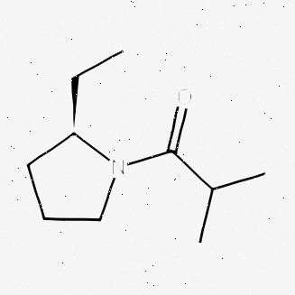 CC[C@@H]1CCCN1C(=O)C(C)C